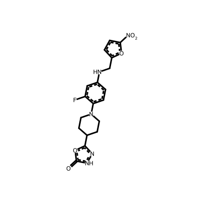 O=c1[nH]nc(C2CCN(c3ccc(NCc4ccc([N+](=O)[O-])o4)cc3F)CC2)o1